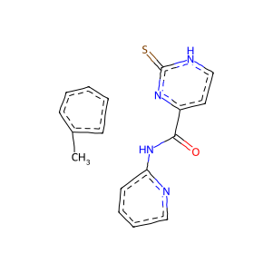 Cc1ccccc1.O=C(Nc1ccccn1)c1cc[nH]c(=S)n1